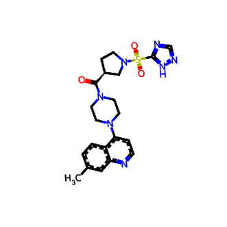 Cc1ccc2c(N3CCN(C(=O)[C@H]4CCN(S(=O)(=O)c5ncn[nH]5)C4)CC3)ccnc2c1